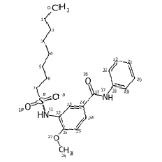 CCCCCCCCS(=O)(=O)Nc1cc(C(=O)Nc2ccccc2)ccc1OC